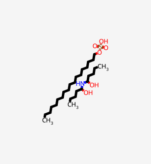 CCCCC(O)NC(O)CCCC.CCCCCCCCCCCCCCCCCCOS(=O)(=O)O